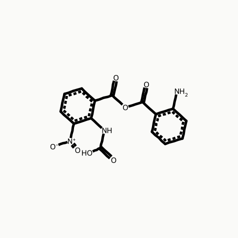 Nc1ccccc1C(=O)OC(=O)c1cccc([N+](=O)[O-])c1NC(=O)O